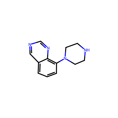 c1cc(N2CCNCC2)c2ncncc2c1